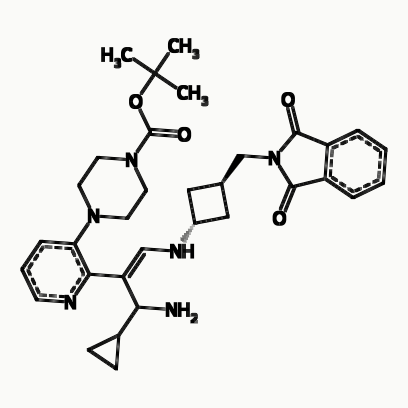 CC(C)(C)OC(=O)N1CCN(c2cccnc2/C(=C/N[C@H]2C[C@H](CN3C(=O)c4ccccc4C3=O)C2)C(N)C2CC2)CC1